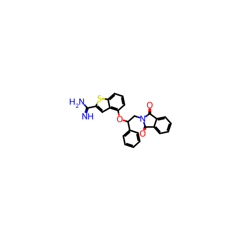 N=C(N)c1cc2c(OC(CN3C(=O)c4ccccc4C3=O)c3ccccc3)cccc2s1